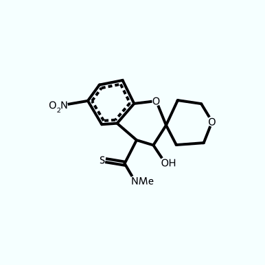 CNC(=S)C1c2cc([N+](=O)[O-])ccc2OC2(CCOCC2)C1O